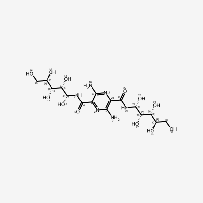 Nc1nc(C(=O)N[C@H](O)[C@@H](O)[C@H](O)[C@H](O)CO)c(N)nc1C(=O)N[C@H](O)[C@@H](O)[C@H](O)[C@H](O)CO